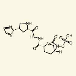 O=C(NNC(=O)[C@H]1CC[C@@H]2CN1C(=O)N2OS(=O)(=O)O)[C@@H]1C[C@H](n2nccn2)CN1